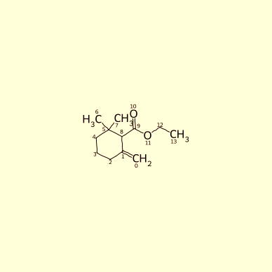 C=C1CCCC(C)(C)C1C(=O)OCC